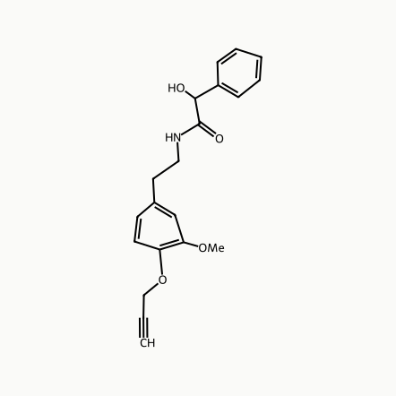 C#CCOc1ccc(CCNC(=O)C(O)c2ccccc2)cc1OC